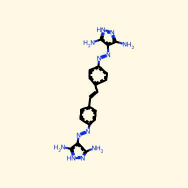 Nc1n[nH]c(N)c1N=Nc1ccc(C=Cc2ccc(N=Nc3c(N)n[nH]c3N)cc2)cc1